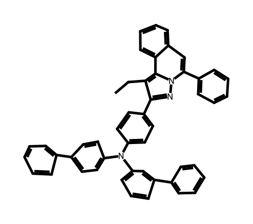 CCc1c(-c2ccc(N(c3ccc(-c4ccccc4)cc3)c3cccc(-c4ccccc4)c3)cc2)nn2c(-c3ccccc3)cc3ccccc3c12